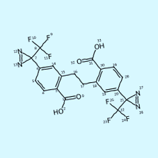 O=C(O)c1ccc(C2(C(F)(F)F)N=N2)cc1CCc1cc(C2(C(F)(F)F)N=N2)ccc1C(=O)O